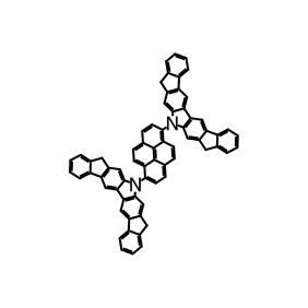 c1ccc2c(c1)Cc1cc3c(cc1-2)c1cc2c(cc1n3-c1ccc3ccc4c(-n5c6cc7c(cc6c6cc8c(cc65)Cc5ccccc5-8)-c5ccccc5C7)ccc5ccc1c3c54)Cc1ccccc1-2